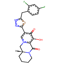 O=C1c2c(O)c(=O)c(-c3nnc(Cc4ccc(F)cc4F)s3)cn2C[C@H]2CCCCN12